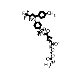 COC(=O)OCON=[N+]([O-])N1CC(C(=O)NS(=O)(=O)c2ccc(-n3nc(C(F)(F)F)cc3-c3ccc(C)cc3)cc2)C1